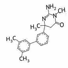 Cc1cc(C)cc(-c2cccc(C3(C)CC(=O)N(C)C(N)=N3)c2)c1